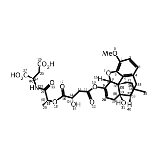 COc1ccc2c3c1O[C@H]1C(OC(=O)C[C@H](O)C(=O)O[C@@H](C)C(=O)N[C@H](CC(=O)O)C(=O)O)=CC[C@@]4(O)[C@@H](C2)C(C)CC[C@]314